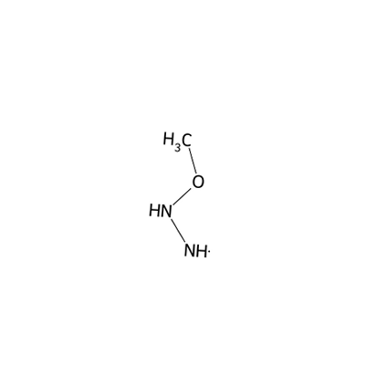 CON[NH]